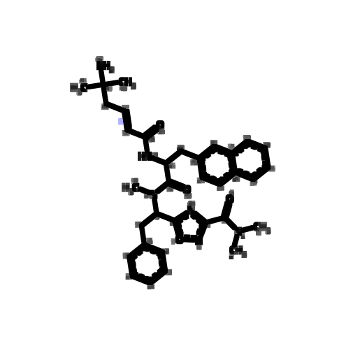 CN(C)C(=O)c1noc(C(Cc2ccccc2)N(C)C(=O)C(Cc2ccc3ccccc3c2)NC(=O)/C=C/CC(C)(C)N)n1